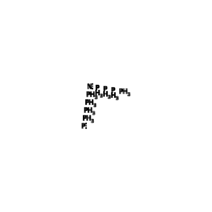 P.P.P.P.P.P.P.P.[N].[P]